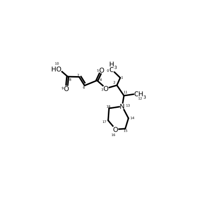 CCC(OC(=O)C=CC(=O)O)C(C)N1CCOCC1